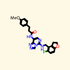 COc1ccc(CCC(=O)Nc2cnc(NCc3c(F)ccc4c3CCO4)n3cnnc23)cc1